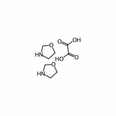 C1COCN1.C1COCN1.O=C(O)C(=O)O